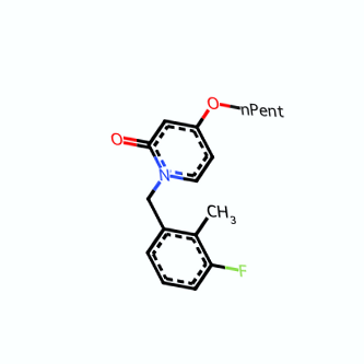 CCCCCOc1ccn(Cc2cccc(F)c2C)c(=O)c1